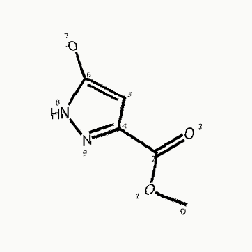 COC(=O)c1cc([O])[nH]n1